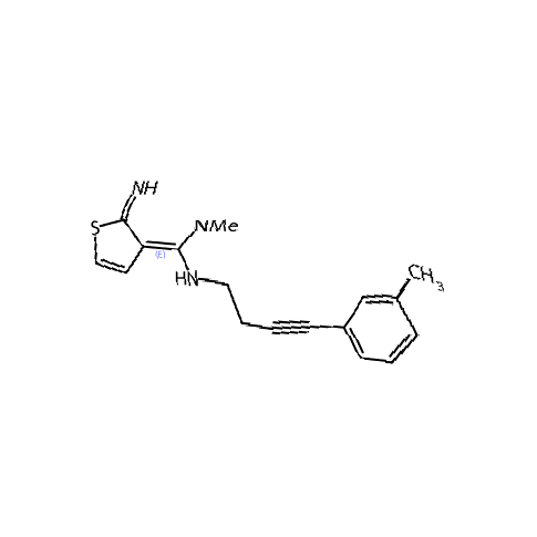 CN/C(NCCC#Cc1cccc(C)c1)=C1/C=CSC1=N